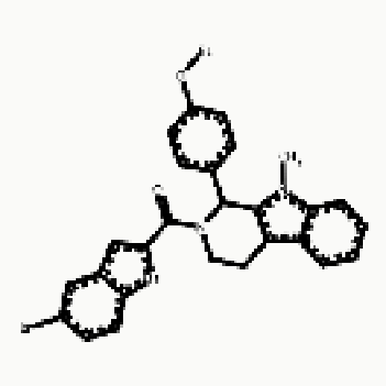 CCOc1ccc(C2c3c(c4ccccc4n3C)CCN2C(=O)c2cc3cc(Br)ccc3o2)cc1